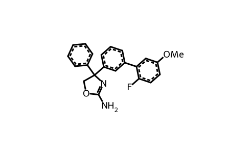 COc1ccc(F)c(-c2cccc(C3(c4ccccc4)COC(N)=N3)c2)c1